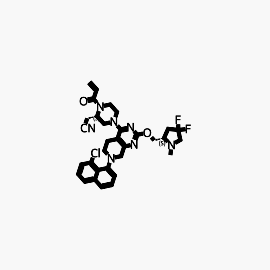 C=CC(=O)N1CCN(c2nc(OC[C@@H]3CC(F)(F)CN3C)nc3c2CCN(c2cccc4cccc(Cl)c24)C3)C[C@@H]1CC#N